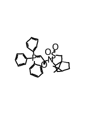 CC1(C)C2CC[C@@]13CS(=O)(=O)N(C(=O)C=P(c1ccccc1)(c1ccccc1)c1ccccc1)C3C2